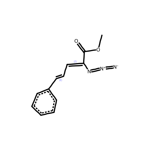 COC(=O)/C(=C/C=C/c1ccccc1)N=[N+]=[N-]